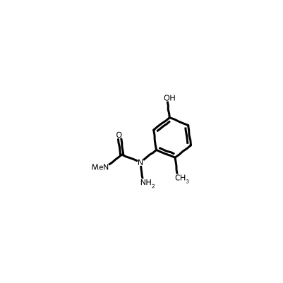 CNC(=O)N(N)c1cc(O)ccc1C